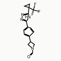 O=CN1CC(c2ccc(-c3nnc(C4(C(F)(F)F)CC4)[nH]3)cc2)C1